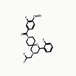 CC(C)Oc1ccc(C(=O)N2CCC3(CC2)CN(CC(F)F)CC(c2ccccc2F)O3)cc1F